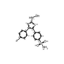 CCCNc1nc(-c2ccc(F)cc2)c(-c2ccc(S(N)(=O)=O)cc2)s1